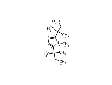 CCC(C)(C)c1ccc(C(C)(C)CC)n1C